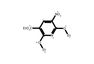 CCOC(=O)c1cc([N+](=O)[O-])c(OCC)nc1OCC